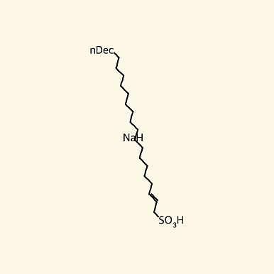 CCCCCCCCCCCCCCCCCCCCCCCCCC=CCS(=O)(=O)O.[NaH]